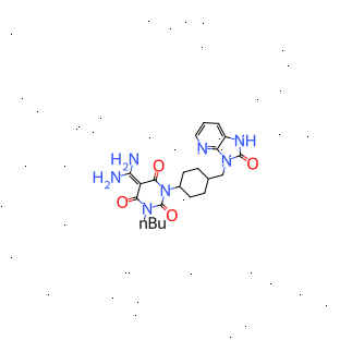 CCCCN1C(=O)C(=C(N)N)C(=O)N(C2CCC(Cn3c(=O)[nH]c4cccnc43)CC2)C1=O